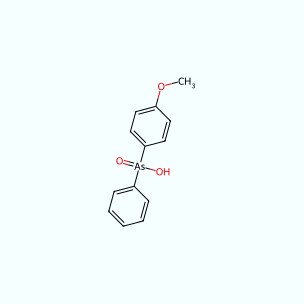 COc1ccc([As](=O)(O)c2ccccc2)cc1